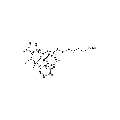 CCCCCCCCCCCCCCCCCCCn1ccnc1C(C)C(C)(Cc1ccccc1)c1ccccc1